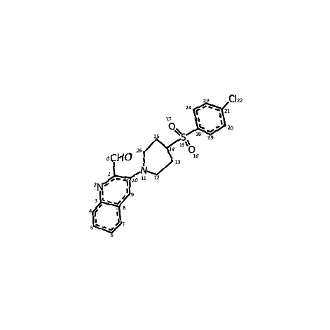 O=Cc1nc2ccccc2cc1N1CCC(S(=O)(=O)c2ccc(Cl)cc2)CC1